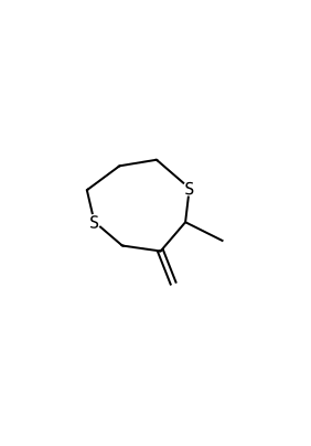 C=C1CSCCCSC1C